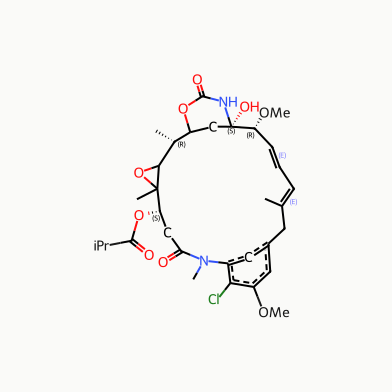 COc1cc2cc(c1Cl)N(C)C(=O)C[C@H](OC(=O)C(C)C)C1(C)OC1[C@H](C)C1C[C@@](O)(NC(=O)O1)[C@H](OC)/C=C/C=C(\C)C2